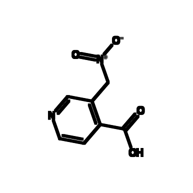 O=C(O)c1ccncc1C[N+](=O)[O-]